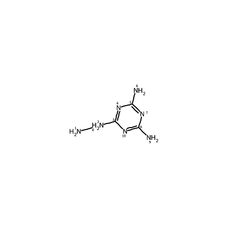 CN.Nc1nc(N)nc(N)n1